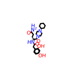 NC(=O)CC[C@H](NC(=O)Cc1ccc(O)cc1O)C(=O)N1CCN(C2CCCCC2)CC1